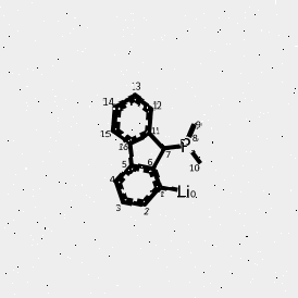 [Li][c]1cccc2c1C(P(C)C)c1ccccc1-2